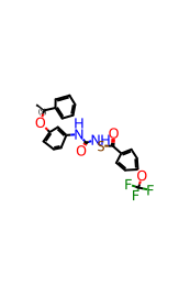 C[C@H](Oc1cccc(NC(=O)NSC(=O)c2ccc(OC(F)(F)F)cc2)c1)c1ccccc1